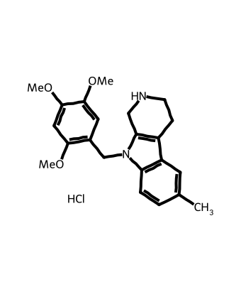 COc1cc(OC)c(OC)cc1Cn1c2c(c3cc(C)ccc31)CCNC2.Cl